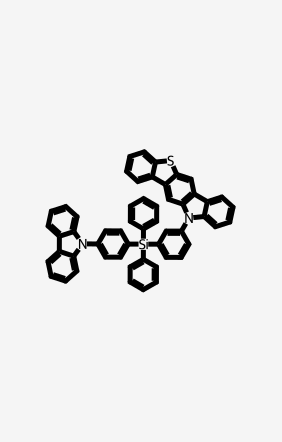 c1ccc([Si](c2ccccc2)(c2ccc(-n3c4ccccc4c4ccccc43)cc2)c2cccc(-n3c4ccccc4c4cc5sc6ccccc6c5cc43)c2)cc1